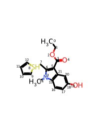 CCOC(=O)c1c(C[SH]2C=CC=C2)n(C)c2ccc(O)cc12